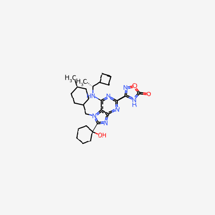 CC1CCC(Cn2c(C3(O)CCCCC3)nc3nc(-c4noc(=O)[nH]4)nc(N[C@H](C)C4CCC4)c32)CC1